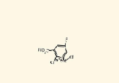 CCCCCCl.O=C(O)c1cc(F)cnc1Cl